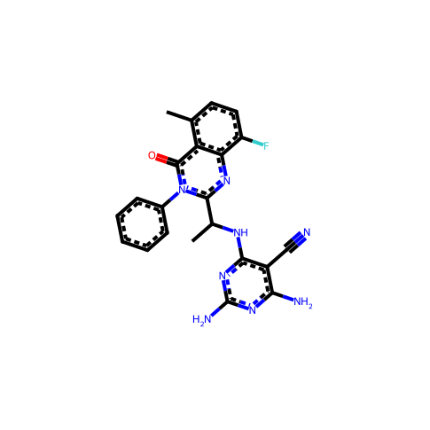 Cc1ccc(F)c2nc(C(C)Nc3nc(N)nc(N)c3C#N)n(-c3ccccc3)c(=O)c12